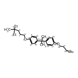 CCC(C)(CC)CCCOc1ccc(C(C)(C)c2ccc(OCCCC(C)(C)C)cc2)cc1